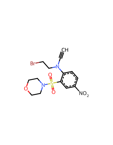 C#CN(CCBr)c1ccc([N+](=O)[O-])cc1S(=O)(=O)N1CCOCC1